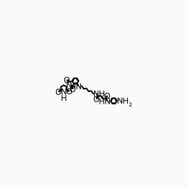 Nc1ccc(NC(=O)/C=C/C(=O)NCCCCCCNc2cccc3c2C(=O)N(C2CCC(=O)NC2=O)C3=O)cc1